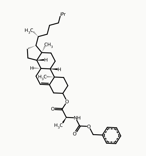 CC(C)CCC[C@@H](C)[C@H]1CC[C@H]2[C@@H]3CC=C4CC(OC(=O)[C@H](C)NC(=O)OCc5ccccc5)CC[C@]4(C)[C@H]3CC[C@]12C